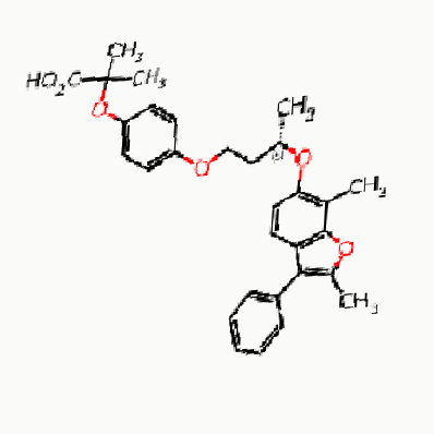 Cc1oc2c(C)c(O[C@@H](C)CCOc3ccc(OC(C)(C)C(=O)O)cc3)ccc2c1-c1ccccc1